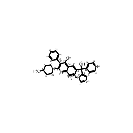 CC1CCN(c2nc3ccc(C(O)(c4ccncc4)c4cncn4C)cc3c(Cl)c2-c2ccccc2)CC1